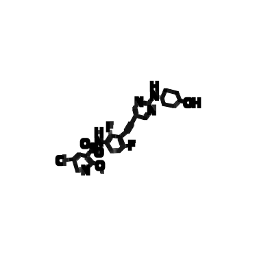 COc1ncc(Cl)cc1S(=O)(=O)Nc1ccc(F)c(C#Cc2cnc(N[C@H]3CC[C@H](O)CC3)nc2)c1F